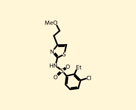 CCc1c(Cl)cccc1S(=O)(=O)Nc1nc(CCOC)cs1